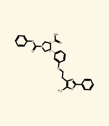 Cc1oc(-c2ccccc2)nc1CCOc1cccc([C@@H]2CN(C(=O)Oc3ccccc3)C[C@@H]2C(=O)O)c1